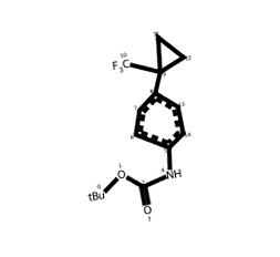 CC(C)(C)OC(=O)Nc1ccc(C2(C(F)(F)F)CC2)cc1